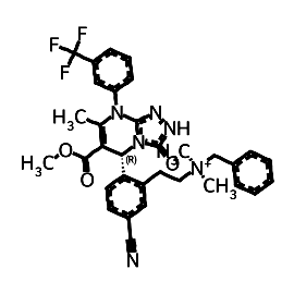 COC(=O)C1=C(C)N(c2cccc(C(F)(F)F)c2)c2n[nH]c(=O)n2[C@@H]1c1ccc(C#N)cc1CC[N+](C)(C)Cc1ccccc1